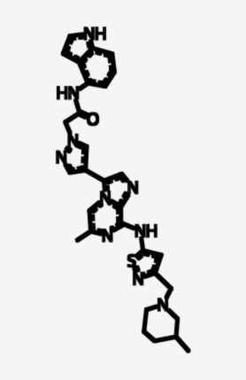 Cc1cn2c(-c3cnn(CC(=O)Nc4cccc5[nH]ccc45)c3)cnc2c(Nc2cc(CN3CCCC(C)C3)ns2)n1